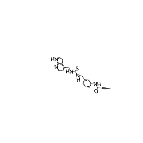 CC#CC(=O)Nc1cccc(CNC(=S)NCc2ccnc3[nH]ccc23)c1